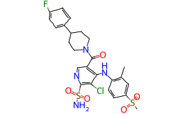 Cc1cc(S(C)(=O)=O)ccc1Nc1c(C(=O)N2CCC(c3ccc(F)cc3)CC2)cnc(S(N)(=O)=O)c1Cl